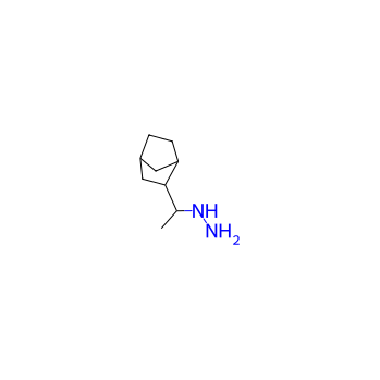 CC(NN)C1CC2CCC1C2